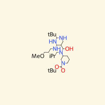 COCCCNC1NC(C(C)(C)C)NCC1C(O)N(CC(C)C)[C@H]1CCCN(C(=O)OC(C)(C)C)C1